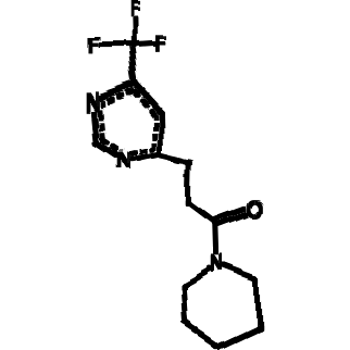 O=C(CCc1cc(C(F)(F)F)ncn1)N1CCCCC1